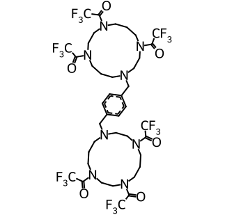 O=C(N1CCCN(C(=O)C(F)(F)F)CCN(C(=O)C(F)(F)F)CCCN(Cc2ccc(CN3CCCN(C(=O)C(F)(F)F)CCN(C(=O)C(F)(F)F)CCCN(C(=O)C(F)(F)F)CC3)cc2)CC1)C(F)(F)F